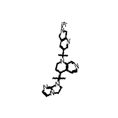 CC(C)N1Cc2cc(C(C)(C)N3CCC(C(C)(C)N4CCn5ccnc54)c4ccncc43)cnc2C1